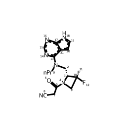 CCCN(C[C@H]1N(C(=O)CC#N)CC1(F)F)c1ncnc2[nH]ccc12